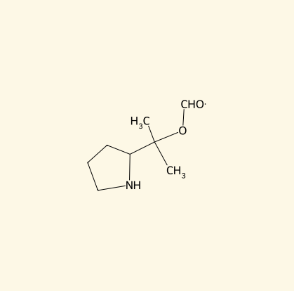 CC(C)(O[C]=O)C1CCCN1